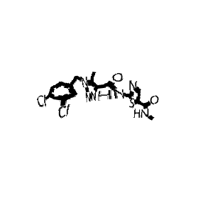 CNC(=O)c1cnc(NC(=O)c2nnn(Cc3ccc(Cl)c(Cl)c3)c2C)s1